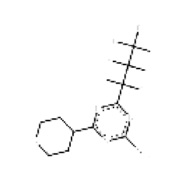 Nc1nc(C2CCNCC2)nc(C(F)(F)C(F)(F)C(F)(F)F)n1